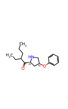 CCCC(CC)C(=O)[C@@H]1C[C@H](Oc2ccccc2)CN1